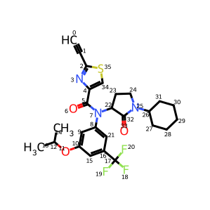 C#Cc1nc(C(=O)N(c2cc(OC(C)C)cc(C(F)(F)F)c2)C2CCN(C3CCCCC3)C2=O)cs1